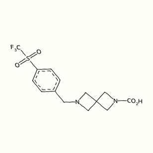 O=C(O)N1CC2(CN(Cc3ccc(S(=O)(=O)C(F)(F)F)cc3)C2)C1